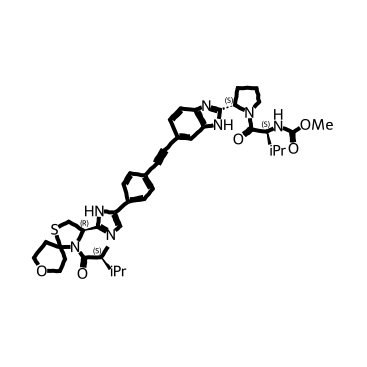 COC(=O)N[C@H](C(=O)N1CCC[C@H]1c1nc2ccc(C#Cc3ccc(-c4cnc([C@@H]5CSC6(CCOCC6)N5C(=O)[C@@H](C)C(C)C)[nH]4)cc3)cc2[nH]1)C(C)C